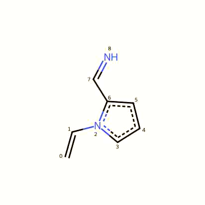 C=Cn1cccc1C=N